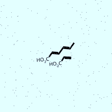 C/C=C/C=C/C(=O)O.C=CC(=O)O